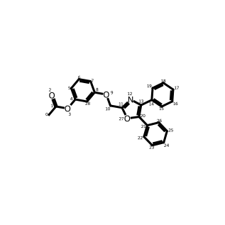 CC(=O)Oc1cccc(OCc2nc(-c3ccccc3)c(-c3ccccc3)o2)c1